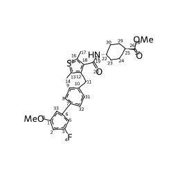 COc1cc(F)cc(-c2ccc(Cc3c(C)sc(C)c3C(=O)N[C@H]3CC[C@H](C(=O)OC)CC3)cc2)c1